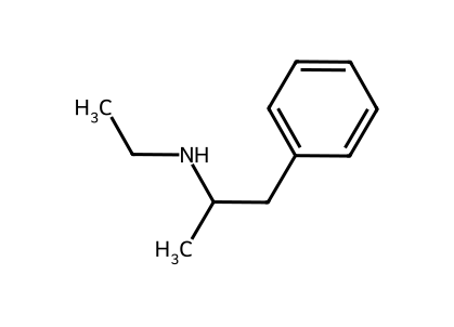 CCNC(C)Cc1ccccc1